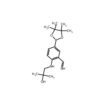 CC(C)(O)CNc1ccc(B2OC(C)(C)C(C)(C)O2)cc1C=N